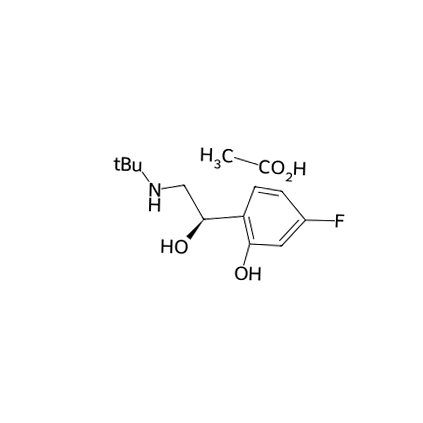 CC(=O)O.CC(C)(C)NC[C@H](O)c1ccc(F)cc1O